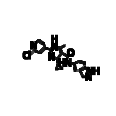 CC1=C(C(=O)Nc2ccc3[nH]ncc3c2)C(C2CC2)N=C(c2ccnc(Cl)c2)N1